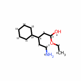 CCOC(O)CC(CCN)C1CCCCC1